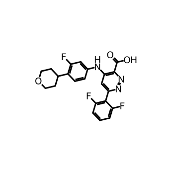 O=C(O)c1nnc(-c2c(F)cccc2F)cc1Nc1ccc(C2CCOCC2)c(F)c1